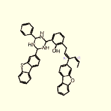 C/C=C\C(=C/Cc1cccc(C2NC(c3ccccc3)NC(c3ccc4c(c3)sc3ccccc34)N2)c1O)c1ccc2c(c1)oc1ccccc12